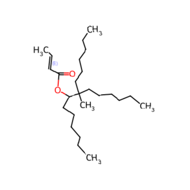 C/C=C/C(=O)OC(CCCCCC)C(C)(CCCCCC)CCCCCC